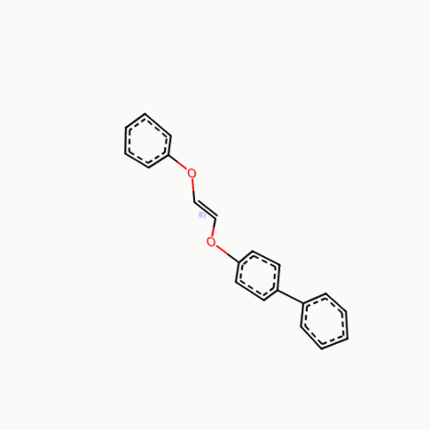 C(=C\Oc1ccc(-c2ccccc2)cc1)/Oc1ccccc1